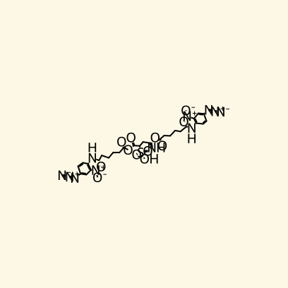 [N-]=[N+]=Nc1ccc(NCCCCCC(=O)OC(=N)CC(C(=O)OC(=O)CCCCCNc2ccc(N=[N+]=[N-])cc2[N+](=O)[O-])S(=O)(=O)O)c([N+](=O)[O-])c1